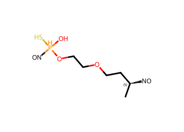 C[C@@H](CCOCCO[PH](O)(S)N=O)N=O